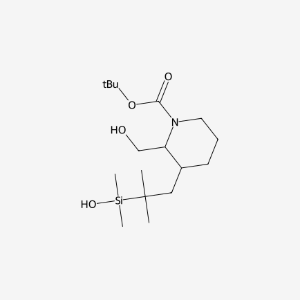 CC(C)(C)OC(=O)N1CCCC(CC(C)(C)[Si](C)(C)O)C1CO